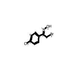 ON=C(CBr)c1ccc(Cl)cc1